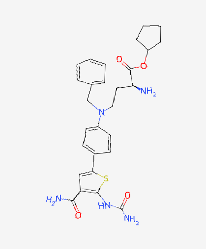 NC(=O)Nc1sc(-c2ccc(N(CC[C@H](N)C(=O)OC3CCCC3)Cc3ccccc3)cc2)cc1C(N)=O